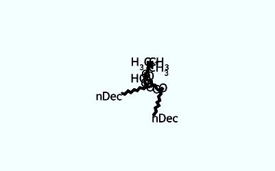 CCCCCCCCCCCCCCCCCCC(=O)OCC(COP(=O)(O)OCC[N+](C)(C)C)OC(=O)CCCCCCCCCCCCCCCCCC